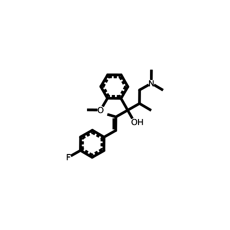 COc1ccccc1C(O)(C(C)=Cc1ccc(F)cc1)C(C)CN(C)C